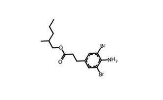 CCCC(C)COC(=O)CCc1cc(Br)c(N)c(Br)c1